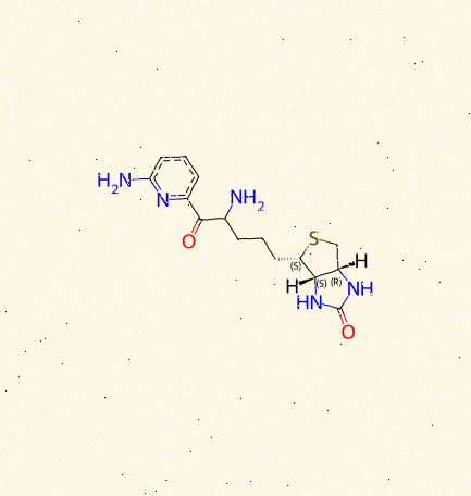 Nc1cccc(C(=O)C(N)CCC[C@@H]2SC[C@@H]3NC(=O)N[C@@H]32)n1